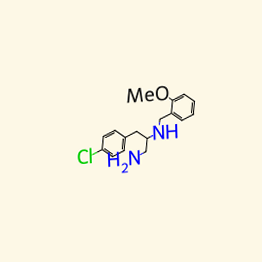 COc1ccccc1CNC(CN)Cc1ccc(Cl)cc1